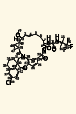 CO[C@H]1/C=C/CCC[S@@](=O)(NC(=O)NC(C)(C)C(F)(F)F)=NC(=O)c2ccc3c(c2)N(C[C@@]2(CCCc4cc(Cl)ccc42)CO3)C[C@@]23CC2[C@@H]13